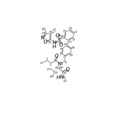 CCCC(=O)N(Cc1ccc(-c2ccccc2S(=O)(=O)Nc2onc(C)c2C)cc1)[C@H](C(=O)NC)C(C)C